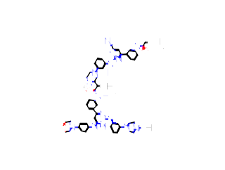 C=CC(=O)Nc1cccc(-c2cc(C#N)nc(Nc3cccc(N4CCN(C)C(C(=C)C(=O)Nc5cccc(-c6cc(Nc7ccc(N8CCOCC8)cc7)nc(Nc7cccc(N8CCN(C)CC8)c7)n6)c5)C4)c3)n2)c1